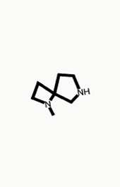 CN1CCC12CCNC2